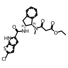 CCOC(=O)CC(=O)N(C)[C@@H]1c2ccccc2C[C@H]1NC(=O)c1cc2cc(Cl)sc2[nH]1